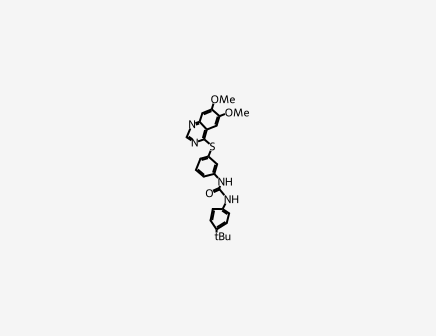 COc1cc2ncnc(Sc3cccc(NC(=O)Nc4ccc(C(C)(C)C)cc4)c3)c2cc1OC